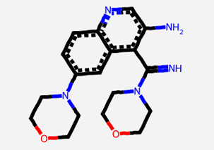 N=C(c1c(N)cnc2ccc(N3CCOCC3)cc12)N1CCOCC1